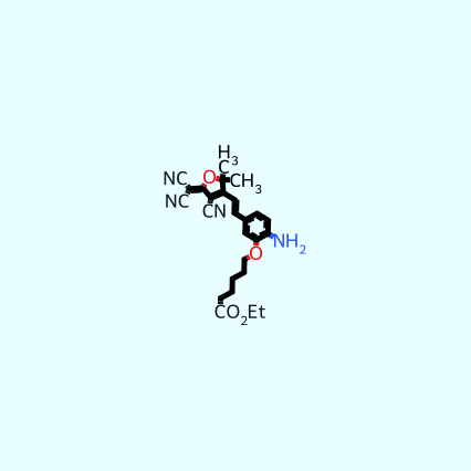 CCOC(=O)CCCCCOc1cc(C=CC2=C(C#N)C(=C(C#N)C#N)OC2(C)C)ccc1N